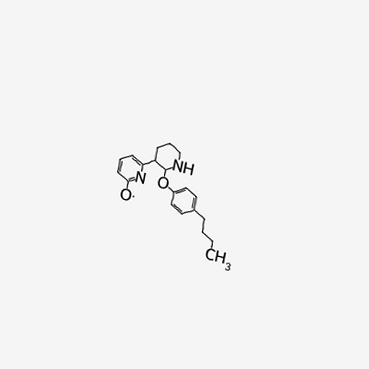 CCCCc1ccc(OC2NCCCC2c2cccc([O])n2)cc1